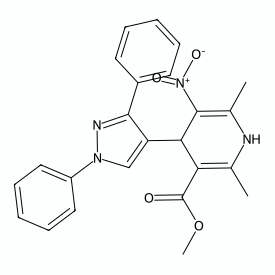 COC(=O)C1=C(C)NC(C)=C([N+](=O)[O-])C1c1cn(-c2ccccc2)nc1-c1ccccc1